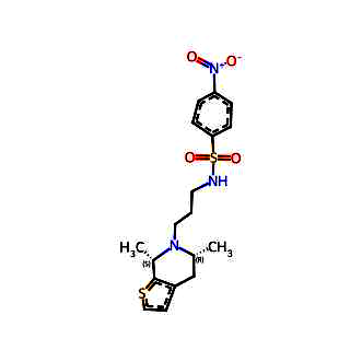 C[C@@H]1Cc2ccsc2[C@H](C)N1CCCNS(=O)(=O)c1ccc([N+](=O)[O-])cc1